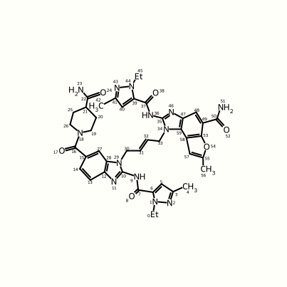 CCn1nc(C)cc1C(=O)Nc1nc2ccc(C(=O)N3CCC(C(N)=O)CC3)cc2n1C/C=C/Cn1c(NC(=O)c2cc(C)nn2CC)nc2cc(C(N)=O)c3oc(C)cc3c21